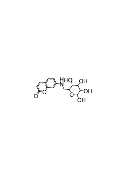 O=c1ccc2ccc(NCC3OC(O)C(O)C(O)[C@H]3O)cc2o1